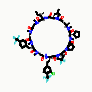 CC[C@H](C)[C@@H]1NC(=O)[C@H](CC(C)C)N(C)C(=O)C[C@@H](C)N(C)C(=O)[C@H](C2CCCC2)N(C)C(=O)C2(CCCC2)NC(=O)[C@@H]2CC(F)(F)CN2C(=O)[C@H](CCc2ccc(C(F)(F)F)c(Cl)c2)NC(=O)CN(C)C(=O)[C@H](Cc2ccc(C(F)(F)F)cc2)N(C)C(=O)CN(C)C(=O)CN(C)C1=O